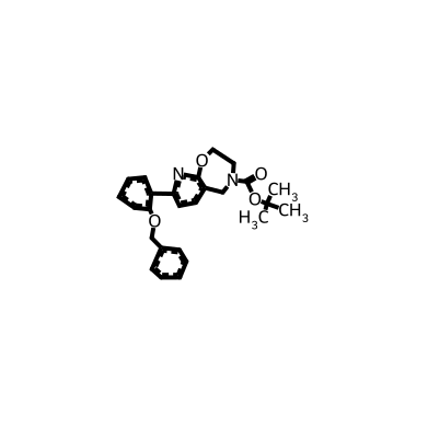 CC(C)(C)OC(=O)N1CCOc2nc(-c3ccccc3OCc3ccccc3)ccc2C1